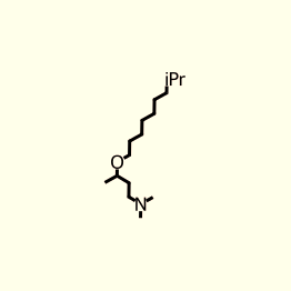 CC(C)CCCCCCCOC(C)CCN(C)C